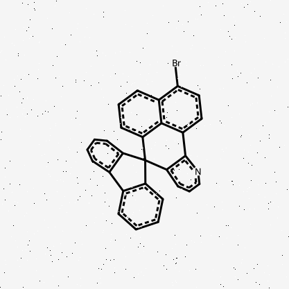 Brc1ccc2c3c(cccc13)C1(c3ccccc3-c3ccccc31)c1cccnc1-2